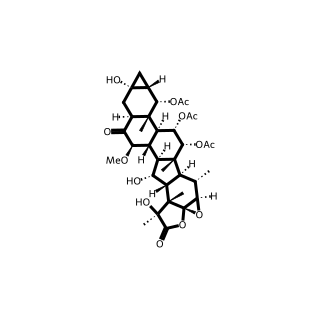 CO[C@H]1C(=O)[C@H]2C[C@@]3(O)C[C@@H]3[C@H](OC(C)=O)[C@]2(C)[C@H]2[C@H](OC(C)=O)[C@H](OC(C)=O)[C@@]3(C)[C@@H]([C@@H](O)[C@@H]4[C@@H]3[C@H](C)[C@H]3O[C@]35OC(=O)[C@@](C)(O)[C@]45C)[C@@H]21